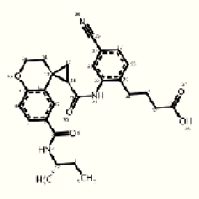 CC[C@H](C)NC(=O)c1ccc2c(c1)[C@]1(CCO2)C[C@H]1C(=O)Nc1cc(C#N)ccc1CCCC(=O)O